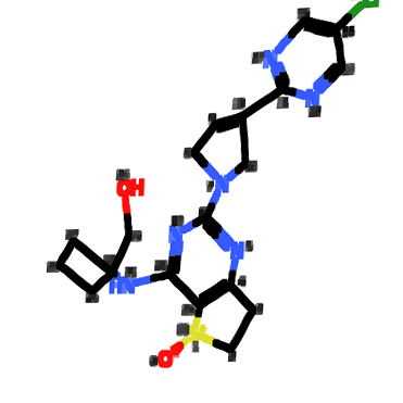 [O-][S@+]1CCc2nc(N3CC=C(c4ncc(Cl)cn4)C3)nc(NC3(CO)CCC3)c21